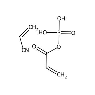 C=CC#N.C=CC(=O)OP(=O)(O)O